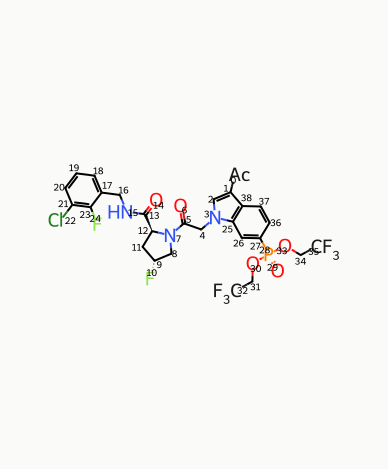 CC(=O)c1cn(CC(=O)N2C[C@H](F)C[C@H]2C(=O)NCc2cccc(Cl)c2F)c2cc(P(=O)(OCC(F)(F)F)OCC(F)(F)F)ccc12